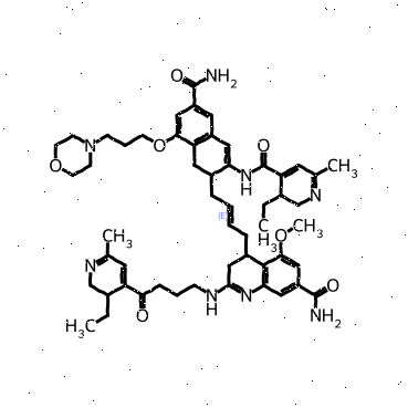 CCC1CN=C(C)C=C1C(=O)CCCNC1=Nc2cc(C(N)=O)cc(OC)c2C(C/C=C/CC2Cc3c(cc(C(N)=O)cc3OCCCN3CCOCC3)C=C2NC(=O)C2=CC(C)=NCC2CC)C1